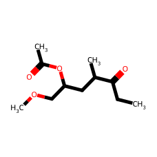 CCC(=O)C(C)CC(COC)OC(C)=O